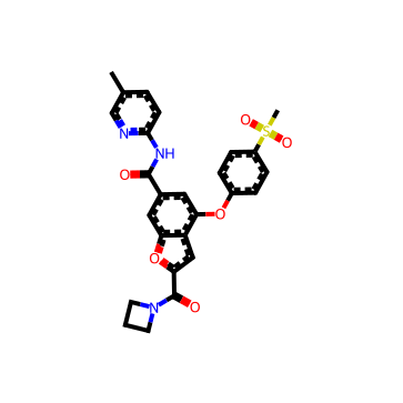 Cc1ccc(NC(=O)c2cc(Oc3ccc(S(C)(=O)=O)cc3)c3cc(C(=O)N4CCC4)oc3c2)nc1